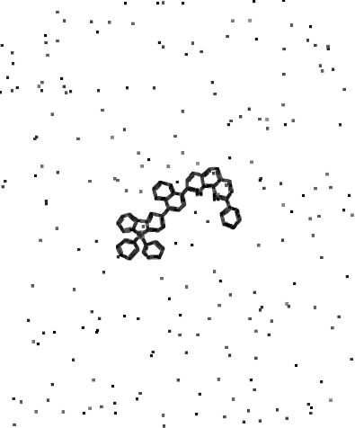 c1ccc(-c2ccc3ccc4ccc(-c5ccc(-c6ccc7c(c6)-c6ccccc6[Si]7(c6ccccc6)c6ccccc6)c6ccccc56)nc4c3n2)cc1